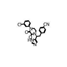 N#Cc1ccc(CC(c2cnc[nH]2)N2CCN(c3cccc(Cl)c3)C(=O)C2=O)cc1